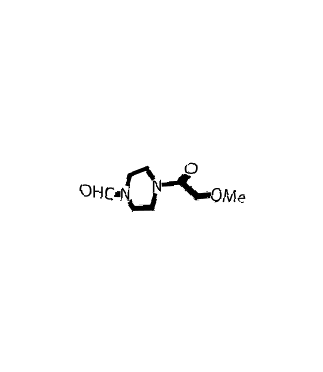 COCC(=O)N1CCN(C=O)CC1